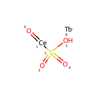 [O]=[Ce][S](=O)(=O)O.[Tb]